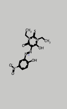 CCn1c(O)c(/N=N/c2cc([N+](=O)[O-])ccc2O)c(=O)n(CC)c1=S